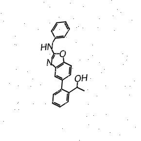 CC(O)c1ccccc1-c1ccc2oc(Nc3ccccc3)nc2c1